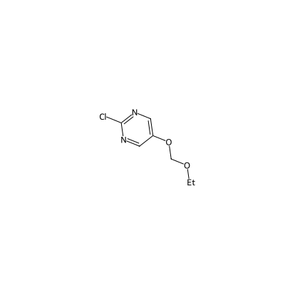 CCOCOc1cnc(Cl)nc1